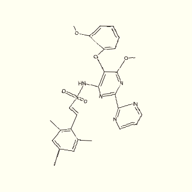 COc1ccccc1Oc1c(NS(=O)(=O)C=Cc2c(C)cc(C)cc2C)nc(-c2ncccn2)nc1OC